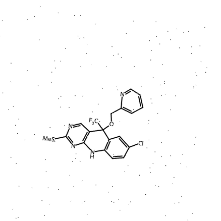 CSc1ncc2c(n1)Nc1ccc(Cl)cc1C2(OCc1ccccn1)C(F)(F)F